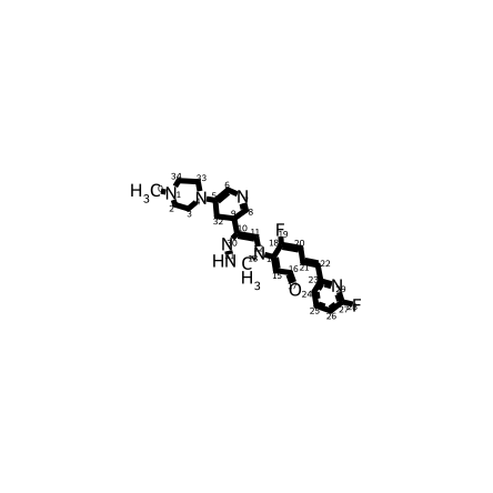 CN1CCN(C2=CN=CC(/C(=C/N(C)C(=C/C=O)/C(F)=C\C=C\c3cccc(F)n3)N=N)C2)CC1